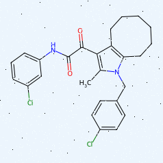 Cc1c(C(=O)C(=O)Nc2cccc(Cl)c2)c2c(n1Cc1ccc(Cl)cc1)CCCCCC2